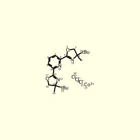 CC(C)(C)C1(C)COC(c2cccc(C3=NC(C)(C(C)(C)C)CO3)n2)=N1.[Cl-].[Cl-].[Cl-].[Co+3]